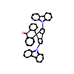 O=C1c2ccccc2C2(c3ccccc31)c1cc(-n3c4ccccc4c4ccccc43)ccc1-c1ccc(-n3c4ccccc4c4ccccc43)cc12